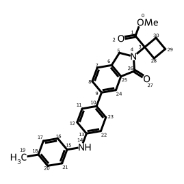 COC(=O)C1(N2Cc3ccc(-c4ccc(Nc5ccc(C)cc5)cc4)cc3C2=O)CCC1